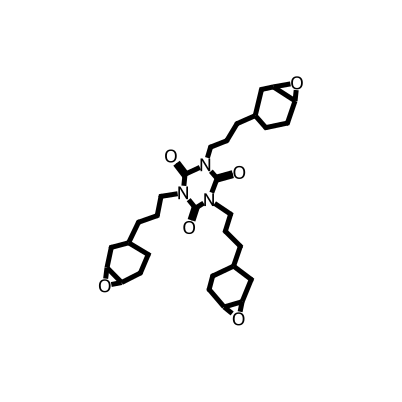 O=c1n(CCCC2CCC3OC3C2)c(=O)n(CCCC2CCC3OC3C2)c(=O)n1CCCC1CCC2OC2C1